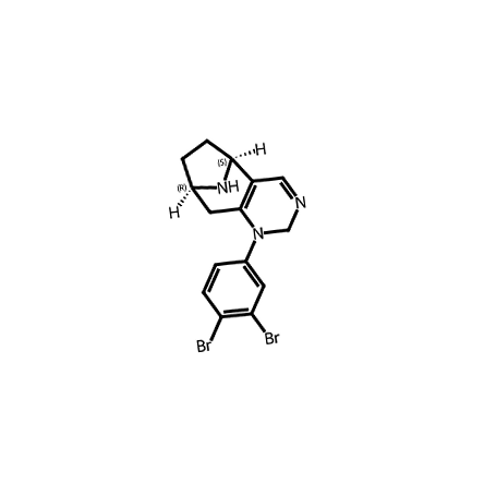 Brc1ccc(N2CN=CC3=C2C[C@H]2CC[C@@H]3N2)cc1Br